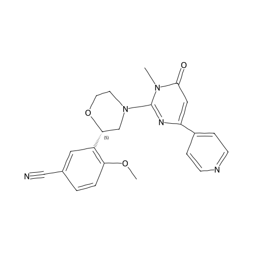 COc1ccc(C#N)cc1[C@H]1CN(c2nc(-c3ccncc3)cc(=O)n2C)CCO1